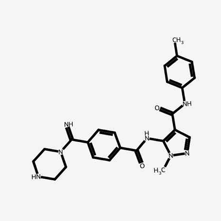 Cc1ccc(NC(=O)c2cnn(C)c2NC(=O)c2ccc(C(=N)N3CCNCC3)cc2)cc1